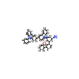 N#Cc1cc(-c2cccc3c2oc2ccccc23)cc(-n2c3ccccc3c3cc(-c4ccc5c(c4)c4ccccc4n5-c4ccccc4)ccc32)c1